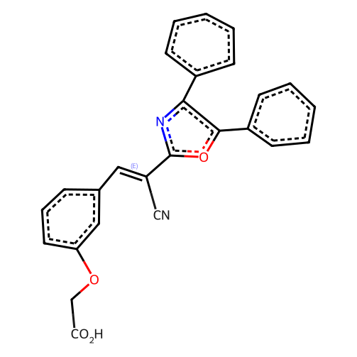 N#C/C(=C\c1cccc(OCC(=O)O)c1)c1nc(-c2ccccc2)c(-c2ccccc2)o1